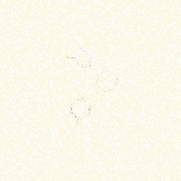 Cn1nc(Br)cc1C1CC(Sc2cccc(C(F)(F)F)c2)CCO1